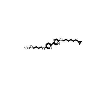 CCCCOCCCCOc1ccc(-c2cnc(OCCCCCCC3CC3)cn2)nc1